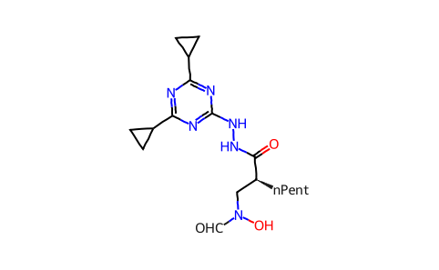 CCCCC[C@@H](CN(O)C=O)C(=O)NNc1nc(C2CC2)nc(C2CC2)n1